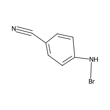 N#Cc1ccc(NBr)cc1